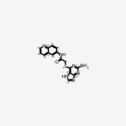 Nc1nc(SCC(=O)Nc2ccc3ncccc3c2)c2[nH]cnc2n1